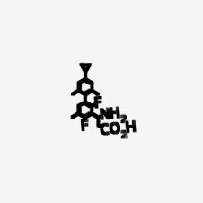 Cc1cc(-c2c(C)cc(C3CC3)cc2C)c(F)c(C(N)CC(=O)O)c1F